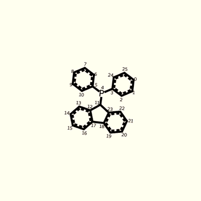 c1ccc(P(c2ccccc2)C2c3ccccc3-c3ccccc32)cc1